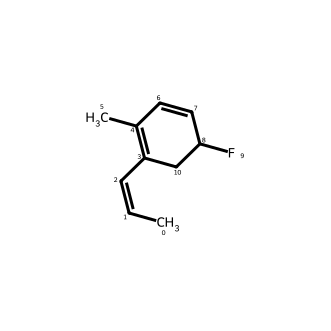 C/C=C\C1=C(C)C=CC(F)C1